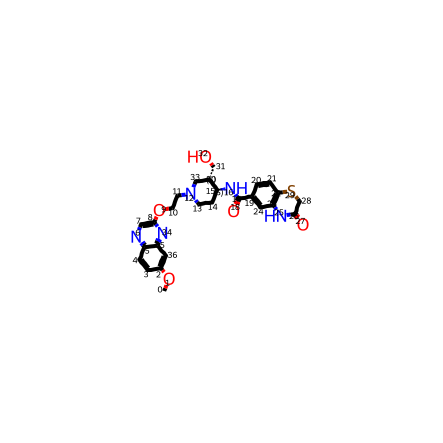 COc1ccc2ncc(OCCN3CC[C@H](NC(=O)c4ccc5c(c4)NC(=O)CS5)[C@@H](CO)C3)nc2c1